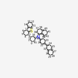 c1cc(-c2cccc3c2sc2ccccc23)cc(N(c2ccc(-c3ccc4ccccc4c3)cc2)c2cccc3ccccc23)c1